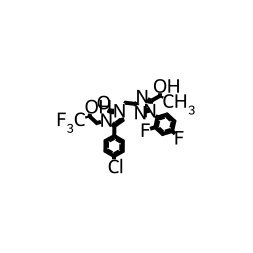 C[C@H](O)c1nc(Cn2cc(-c3ccc(Cl)cc3)n(C[C@H](O)C(F)(F)F)c2=O)nn1-c1ccc(F)cc1F